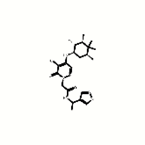 CC(NC(=O)Cn1ncc(N[C@@H]2C[C@H](C)C(C)(C)[C@H](C)[C@H]2C)c(Cl)c1=O)c1cn[nH]c1